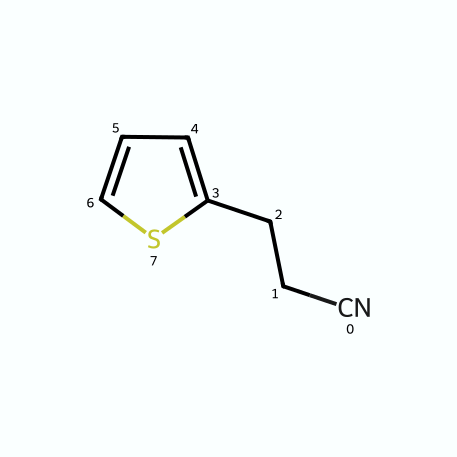 N#CCCc1cccs1